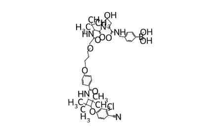 CC(C)(C)[C@H](NC(=O)COCCCCOc1ccc(C(=O)N[C@H]2C(C)(C)[C@H](Oc3ccc(C#N)c(Cl)c3)C2(C)C)cc1)C(=O)N1C[C@H](O)C[C@H]1C(=O)NCc1ccc(B(O)O)cc1